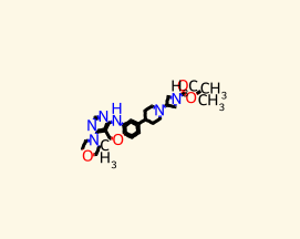 CC1Oc2ccc(C3CCN(C4CN(C(=O)OC(C)(C)C)C4)CC3)cc2Nc2ncnc(N3CCOCC3)c21